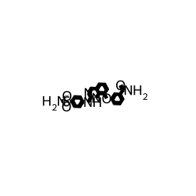 NC(=O)c1cccc(Oc2cccc3cnc(Nc4ccc(S(N)(=O)=O)cc4)nc23)c1